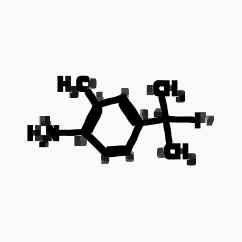 Cc1cc(C(C)(C)F)ccc1N